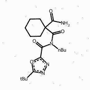 CCCCN(C(=O)c1nnc(C(C)(C)C)o1)C(=O)C1(C(N)=O)CCCCC1